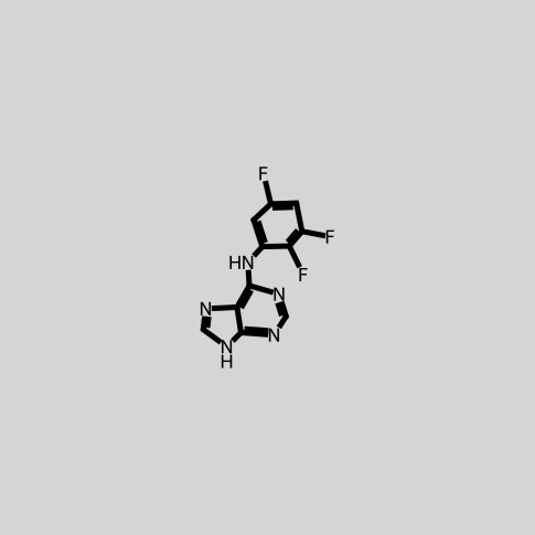 Fc1cc(F)c(F)c(Nc2ncnc3[nH]cnc23)c1